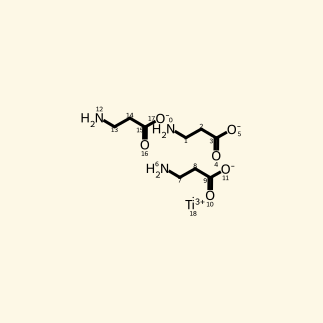 NCCC(=O)[O-].NCCC(=O)[O-].NCCC(=O)[O-].[Ti+3]